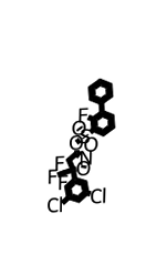 O=S(=O)(OC1=NOC(c2cc(Cl)cc(Cl)c2)(C(F)(F)F)C1)c1cccc(-c2ccccc2)c1F